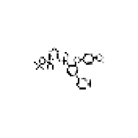 CCN(CC1CCCN1C(=O)OC(C)(C)C)c1ccc(-c2cccnc2)cc1Oc1ccc(OC)cc1